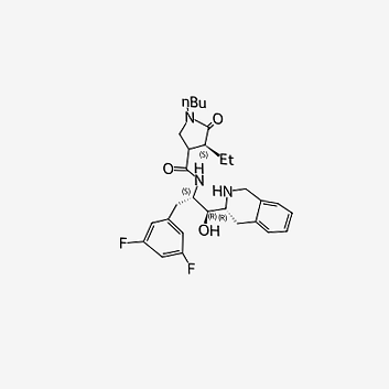 CCCCN1CC(C(=O)N[C@@H](Cc2cc(F)cc(F)c2)[C@H](O)[C@H]2Cc3ccccc3CN2)[C@H](CC)C1=O